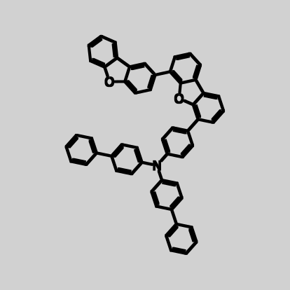 c1ccc(-c2ccc(N(c3ccc(-c4ccccc4)cc3)c3ccc(-c4cccc5c4oc4c(-c6ccc7oc8ccccc8c7c6)cccc45)cc3)cc2)cc1